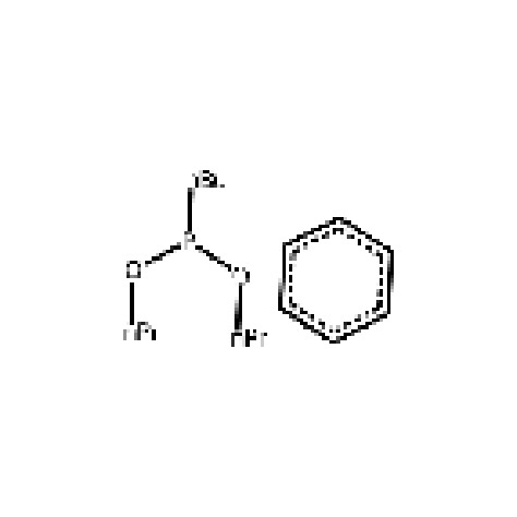 CCCCP(OCCC)OCCC.c1ccccc1